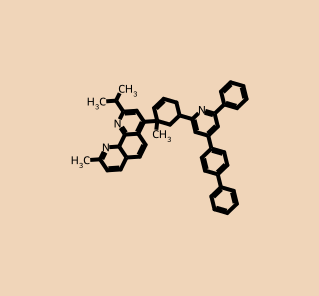 CC1=NC2c3nc(C(C)C)cc(C4(C)C=CCC(c5cc(-c6ccc(-c7ccccc7)cc6)cc(-c6ccccc6)n5)C4)c3C=CC2C=C1